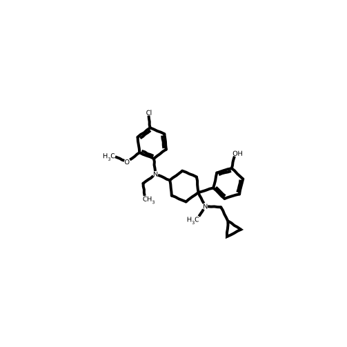 CCN(c1ccc(Cl)cc1OC)C1CCC(c2cccc(O)c2)(N(C)CC2CC2)CC1